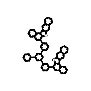 c1ccc(-c2cc(-c3cccc(-c4cc5ccccc5c5c4oc4cc6ccccc6cc45)c3)cc(-c3cccc(-c4cc5ccccc5c5c4oc4cc6ccccc6cc45)c3)c2)cc1